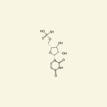 O=c1ccn([C@@H]2O[C@H](COP(O)(=S)S)C(O)[C@@H]2O)c(=O)[nH]1